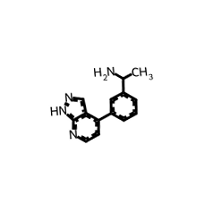 CC(N)c1cccc(-c2ccnc3[nH]ncc23)c1